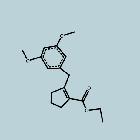 CCOC(=O)C1=C(Cc2cc(OC)cc(OC)c2)CCC1